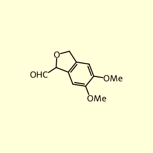 COc1cc2c(cc1OC)C(C=O)OC2